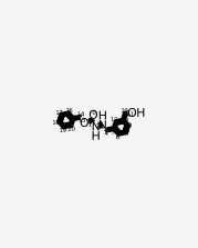 O=C(NNCc1cccc(CO)c1)OCc1ccccc1